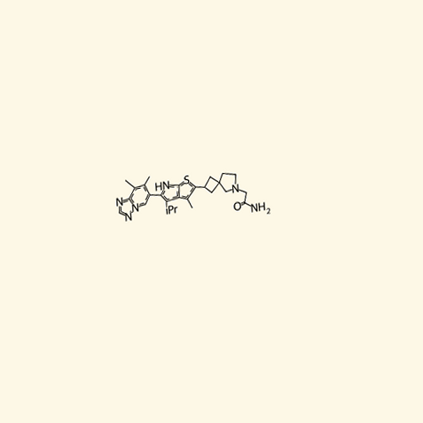 Cc1c(-c2[nH]c3sc(C4CC5(CCN(CC(N)=O)C5)C4)c(C)c3c2C(C)C)cn2ncnc2c1C